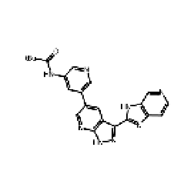 CC(C)(C)C(=O)Nc1cncc(-c2cnc3[nH]nc(-c4nc5ccncc5[nH]4)c3c2)c1